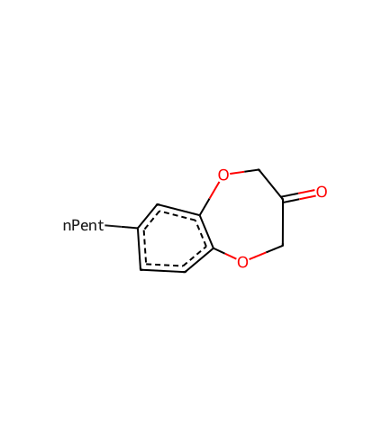 CCCCCc1ccc2c(c1)OCC(=O)CO2